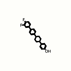 Oc1ccc(C2CCC(c3ccc(-c4ccc(F)c(F)c4)cc3)CC2)cc1